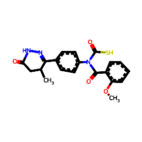 COc1ccccc1C(=O)N(C(=O)S)c1ccc(C2=NNC(=O)CC2C)cc1